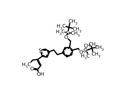 CCC(=CC(=O)O)c1cc(CCc2ccc(CO[Si](C)(C)C(C)(C)C)c(CO[Si](C)(C)C(C)(C)C)c2)cs1